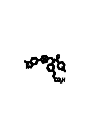 CN1CCC(C(=O)N(CC23CCC(c4ccc5c(cnn5C)c4)(CC2)OC3)c2cccc(C=CC(=O)O)c2)CC1